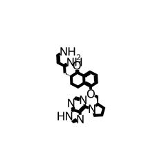 N=C(/C=C\N)C[C@H]1CCc2c(OC[C@H]3CCCN3c3ncnc4[nH]cnc34)cccc2C1=O